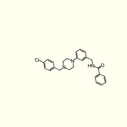 O=C(NCc1cccc(N2CCN(Cc3ccc(Cl)cc3)CC2)c1)c1ccccc1